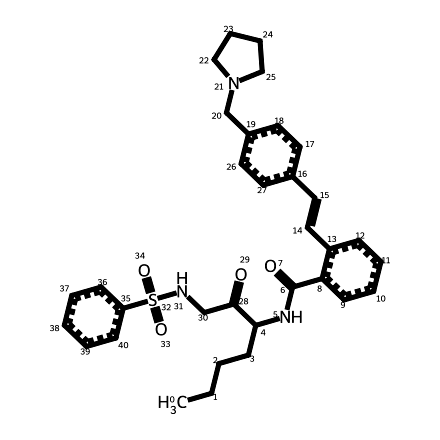 CCCCC(NC(=O)c1ccccc1C=Cc1ccc(CN2CCCC2)cc1)C(=O)CNS(=O)(=O)c1ccccc1